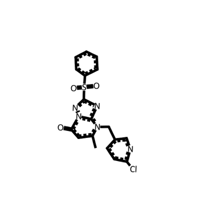 Cc1cc(=O)n2nc(S(=O)(=O)c3ccccc3)nc2n1Cc1ccc(Cl)nc1